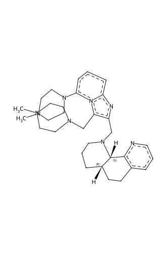 CN1CCN(Cc2c(CN3CCC[C@H]4CCc5cccnc5[C@H]43)nc3cccc(N4CCN(C)CC4)n23)CC1